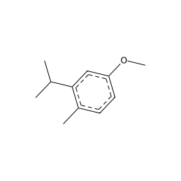 COc1ccc(C)c(C(C)C)c1